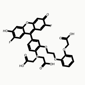 O=C(O)COc1ccccc1OCCOc1cc(-c2c3cc(F)c(=O)cc-3oc3cc(O)c(F)cc23)ccc1N(CC(=O)O)CC(=O)O